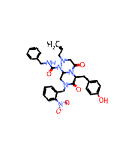 C=CCN1CC(=O)N2C(Cc3ccc(O)cc3)C(=O)N(Cc3ccccc3[N+](=O)[O-])CC2N1C(=O)NCc1ccccc1